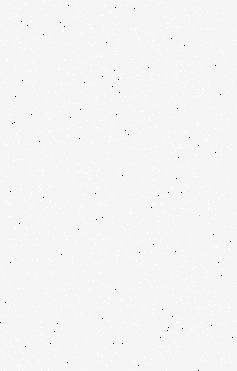 CCC(C)c1ccc(OCC(=O)C(C)(C)C)cc1